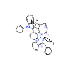 C=N/C(=C1/C=CC=C/C1=N/CN1/C=C\C=C/C(=C)c2c1c1c(c3c2c2ccccc2n3-c2ccccc2)C=CCC1)c1ccccc1